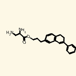 NCC(N)C(=O)OCCCc1ccc2c(c1)C=C(c1ccccc1)CC2